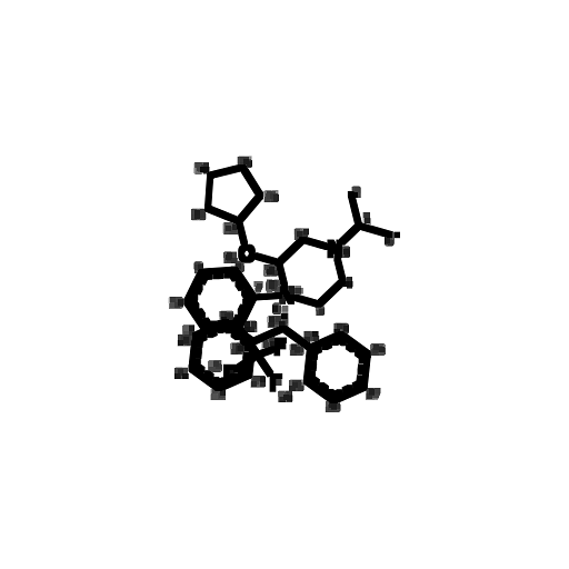 [CH2]C(C)N1CC[N@+](c2ccccc2C(F)(F)F)(C(c2ccccc2)c2ccccc2)C(OC2CCCC2)C1